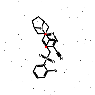 N#Cc1ccc(N2C3CCC2CN(C(=O)CCS(=O)(=O)c2ccccc2Br)C3)nc1